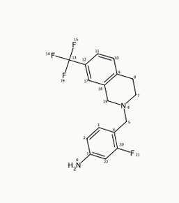 Nc1ccc(CN2CCc3ccc(C(F)(F)F)cc3C2)c(F)c1